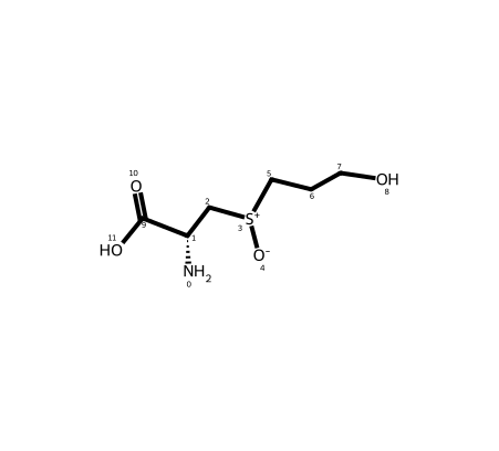 N[C@@H](C[S+]([O-])CCCO)C(=O)O